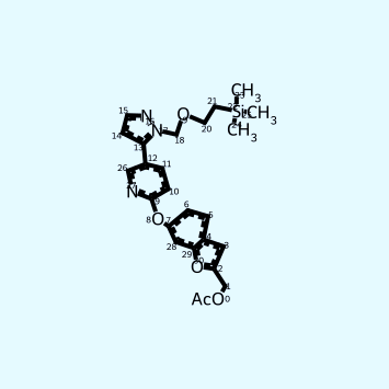 CC(=O)OCc1cc2ccc(Oc3ccc(-c4ccnn4COCC[Si](C)(C)C)cn3)cc2o1